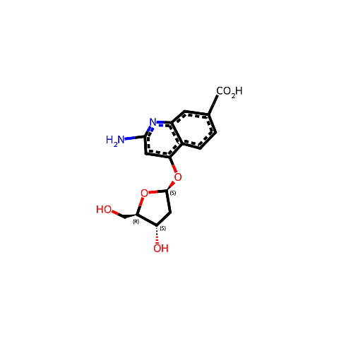 Nc1cc(O[C@H]2C[C@H](O)[C@@H](CO)O2)c2ccc(C(=O)O)cc2n1